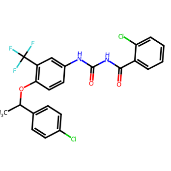 CC(Oc1ccc(NC(=O)NC(=O)c2ccccc2Cl)cc1C(F)(F)F)c1ccc(Cl)cc1